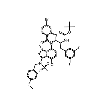 COc1ccc(CN(c2nn(C)c3c(-n4c([C@H](Cc5cc(F)cc(F)c5)NC(=O)OC(C)(C)C)nc5cc(Br)cnc5c4=O)ccc(Cl)c23)S(C)(=O)=O)cc1